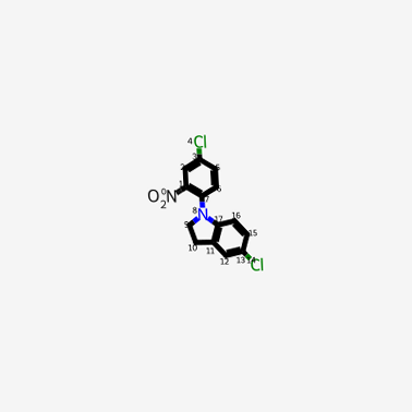 O=[N+]([O-])c1cc(Cl)ccc1N1CCc2cc(Cl)ccc21